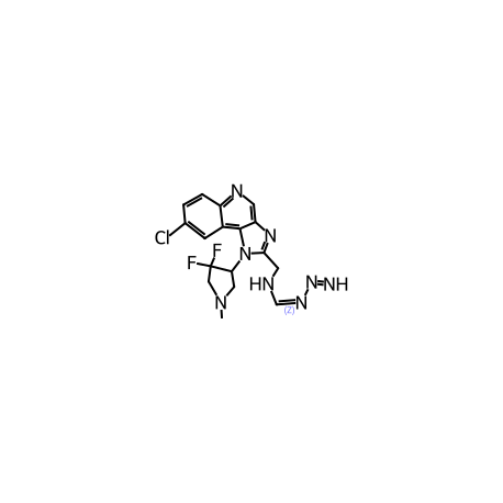 CN1CC(n2c(CN/C=N\N=N)nc3cnc4ccc(Cl)cc4c32)C(F)(F)C1